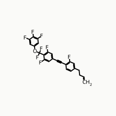 C=CCCc1ccc(C#Cc2cc(F)c(C(F)(F)Oc3cc(F)c(F)c(F)c3)c(F)c2)c(F)c1